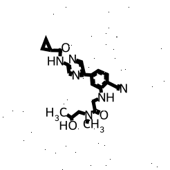 CC(O)CN(C)C(=O)CNc1cc(-c2cnc(NC(=O)C3CC3)cn2)ccc1C#N